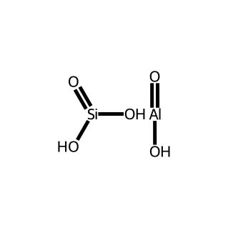 O=[Si](O)O.[O]=[Al][OH]